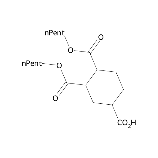 CCCCCOC(=O)C1CCC(C(=O)O)CC1C(=O)OCCCCC